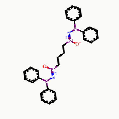 [O-]/[P+](CCCC/[P+]([O-])=N/P(c1ccccc1)c1ccccc1)=N\P(c1ccccc1)c1ccccc1